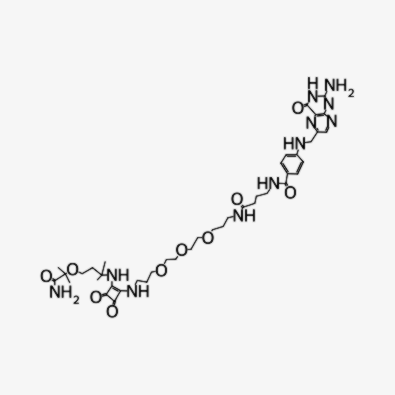 CC(C)(CCOC(C)(C)C(N)=O)Nc1c(NCCCOCCOCCOCCCNC(=O)CCCNC(=O)c2ccc(NCc3cnc4nc(N)[nH]c(=O)c4n3)cc2)c(=O)c1=O